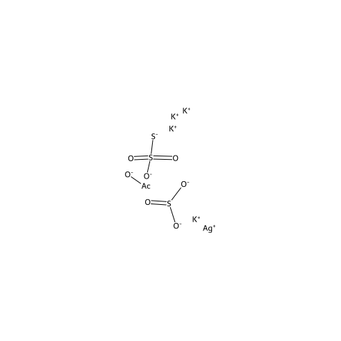 CC(=O)[O-].O=S(=O)([O-])[S-].O=S([O-])[O-].[Ag+].[K+].[K+].[K+].[K+]